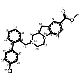 COC(=O)c1cnc2c(c1)CC1CN(Cc3ccccc3-c3ccc(Cl)cc3)CCN21